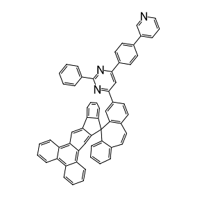 C1=Cc2ccc(-c3cc(-c4ccc(-c5cccnc5)cc4)nc(-c4ccccc4)n3)cc2C2(c3ccccc31)c1ccccc1-c1cc3c4ccccc4c4ccccc4c3cc12